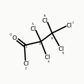 O=C(Cl)C(Cl)(Cl)C(Cl)(Cl)Cl